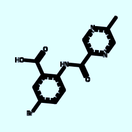 Cc1cnc(C(=O)Nc2ccc(Br)cc2C(=O)O)cn1